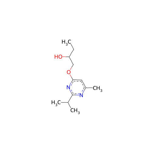 CCC(O)COc1cc(C)nc(C(C)C)n1